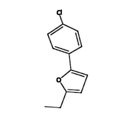 CCc1ccc(-c2ccc(Cl)cc2)o1